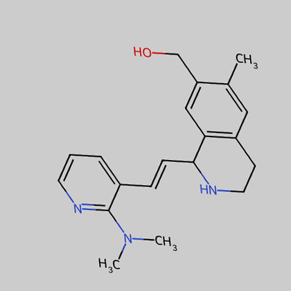 Cc1cc2c(cc1CO)C(/C=C/c1cccnc1N(C)C)NCC2